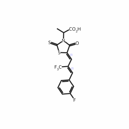 CC(C(=O)O)N1C(=O)/C(=C/C(=C/c2cccc(F)c2)C(F)(F)F)SC1=S